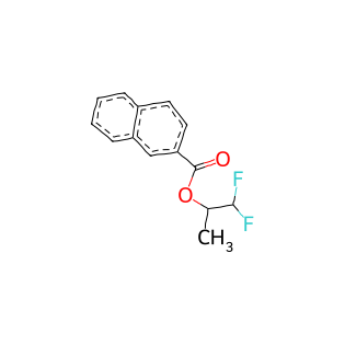 CC(OC(=O)c1ccc2ccccc2c1)C(F)F